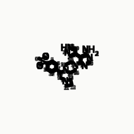 CS(=O)(=O)c1ccc([C@H](CN2CCC2)N2CCN(c3ncnc(N)c3-c3cn[nH]c3)CC2)cc1